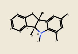 Cc1cc(C)c2c(c1)[C@@]1(C)Cc3ccccc3[C@@]1(C)N2C